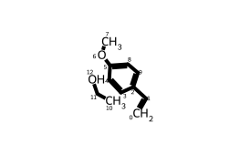 C=Cc1ccc(OC)cc1.CCO